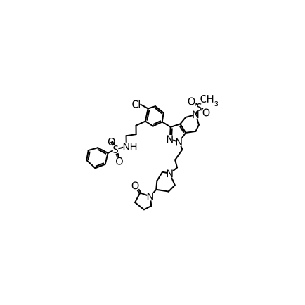 CS(=O)(=O)N1CCc2c(c(-c3ccc(Cl)c(CCCNS(=O)(=O)c4ccccc4)c3)nn2CCCN2CCC(N3CCCC3=O)CC2)C1